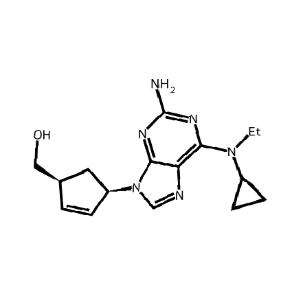 CCN(c1nc(N)nc2c1ncn2[C@H]1C=C[C@@H](CO)C1)C1CC1